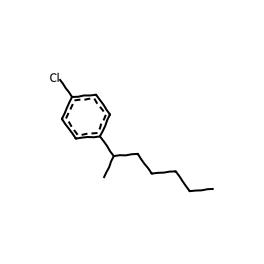 CCCCCC(C)c1ccc(Cl)cc1